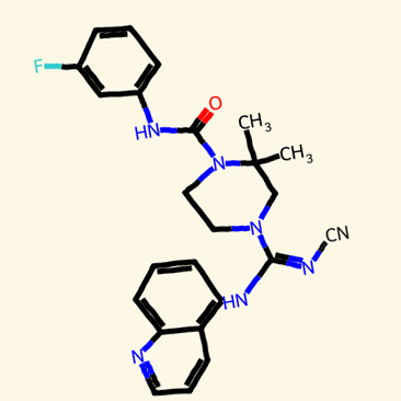 CC1(C)CN(/C(=N\C#N)Nc2cccc3ncccc23)CCN1C(=O)Nc1cccc(F)c1